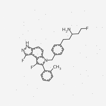 Cc1ccccc1-c1c(F)c2c3c(F)n[nH]c3ccc2n1Cc1ccc(CCC(N)CCF)cc1